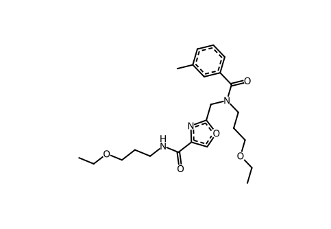 CCOCCCNC(=O)c1coc(CN(CCCOCC)C(=O)c2cccc(C)c2)n1